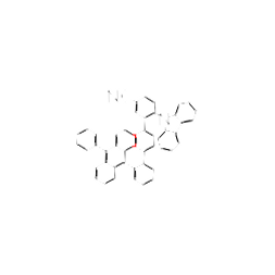 N#Cc1ccc(-n2c3ccccc3c3ccccc32)c(-c2ccc(-c3ccccc3-c3c4ccccc4c(-c4ccccc4)c4ccccc34)cc2)c1